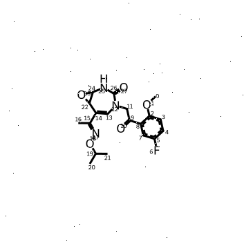 COc1ccc(F)cc1C(=O)CN1C=C(/C(C)=N/OC(C)C)C2OC2NC1=O